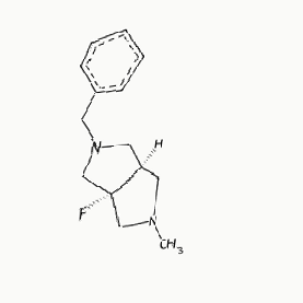 CN1C[C@@H]2CN(Cc3ccccc3)C[C@]2(F)C1